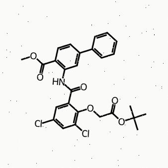 COC(=O)c1ccc(-c2ccccc2)cc1NC(=O)c1cc(Cl)cc(Cl)c1OCC(=O)OC(C)(C)C